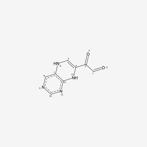 O=CC(=O)C1=CNc2cncnc2N1